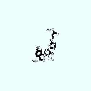 COC(=O)CCOc1ncnc(N(C)C(=O)N(C)S(=O)(=O)c2cc([N+](=O)[O-])ccc2C(=O)OC)n1